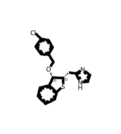 Clc1ccc(CO[C@H]2c3ccccc3S[C@H]2Cc2ncc[nH]2)cc1